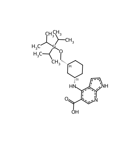 CC(C)[Si](OC[C@@H]1CCC[C@H](Nc2c(C(=O)O)cnc3[nH]ccc23)C1)(C(C)C)C(C)C